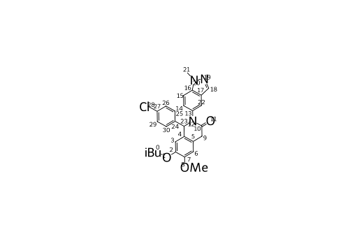 CCC(C)Oc1cc2c(cc1OC)CC(=O)N(c1ccc3c(cnn3C)c1)C2c1ccc(Cl)cc1